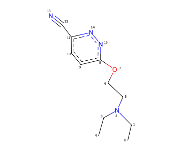 CCN(CC)CCOc1ccc(C#N)nn1